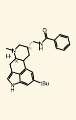 CN1C[C@H](CNC(=O)c2ccccc2)CC2c3cc(C(C)(C)C)cc4[nH]cc(c34)C[C@H]21